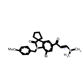 COc1ccc(CN2C(=O)C3(CCCC3)c3cc(C(=O)/C=C/N(C)C)cc(Br)c32)cc1